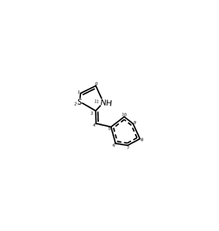 C1=CSC(=Cc2ccccc2)N1